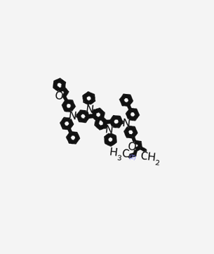 C=Cc1cc(-c2ccc(N(c3cccc(-c4ccccc4)c3)c3ccc4c5c6ccc7c(c6ccc5n(-c5ccccc5)c4c3)c3ccc(N(c4ccc(-c5cc6ccccc6o5)cc4)c4cccc(-c5ccccc5)c4)cc3n7-c3ccccc3)cc2)oc1/C=C\C